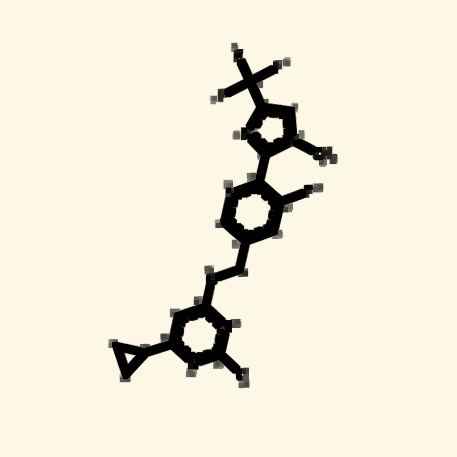 Cn1cc(C(F)(F)F)nc1-c1ncc(COc2cc(C3CC3)nc(Cl)n2)cc1F